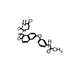 CC(=O)Nc1cccc(Oc2ccc3c(ccc4onc([C@H]5CCC(=O)NC5=O)c43)c2)c1